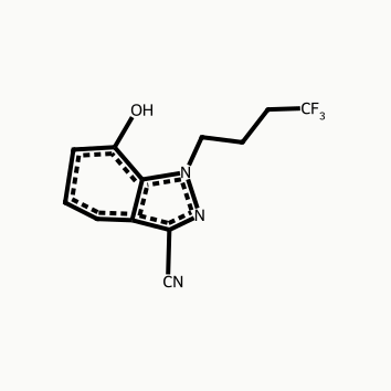 N#Cc1nn(CCCC(F)(F)F)c2c(O)cccc12